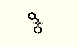 O=S(=O)(Cc1ccccc1)N1CC[N]CC1